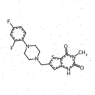 Cn1c(=O)[nH]c2cc(CN3CCN(c4ccc(F)cc4F)CC3)sc2c1=O